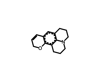 C1=Cc2cc3c4c(c2OC1)CCCN4CCC3